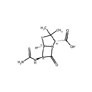 CC1(C)S[C@@H]2[C@H](NC(N)=O)C(=O)N2[C@H]1C(=O)O